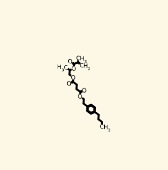 C=C(C)C(=O)OC(C)COC(=O)CCC(=O)OCCc1ccc(CCCC)cc1